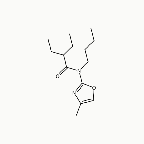 CCCCN(C(=O)C(CC)CC)c1nc(C)co1